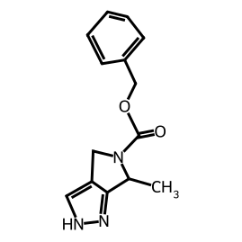 CC1c2n[nH]cc2CN1C(=O)OCc1ccccc1